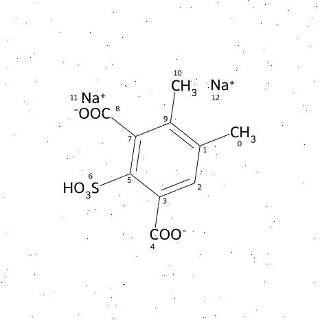 Cc1cc(C(=O)[O-])c(S(=O)(=O)O)c(C(=O)[O-])c1C.[Na+].[Na+]